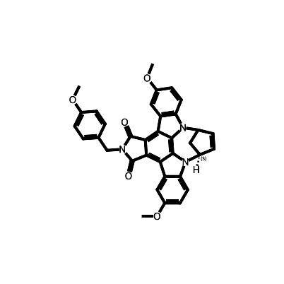 COc1ccc(CN2C(=O)c3c(c4c5cc(OC)ccc5n5c4c4c3c3cc(OC)ccc3n4C3C=C[C@@H]5C3)C2=O)cc1